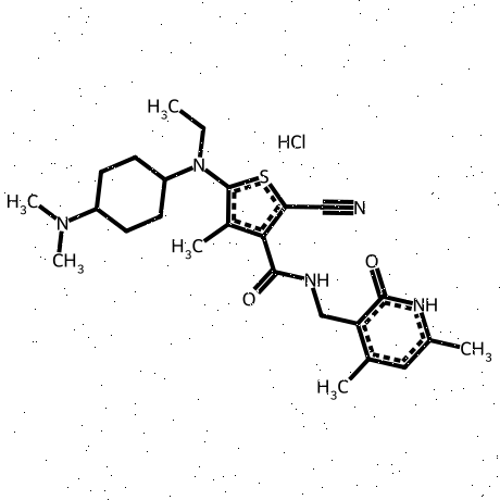 CCN(c1sc(C#N)c(C(=O)NCc2c(C)cc(C)[nH]c2=O)c1C)C1CCC(N(C)C)CC1.Cl